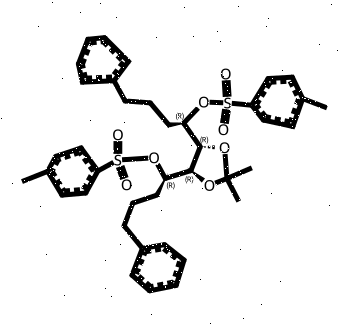 Cc1ccc(S(=O)(=O)O[C@H](CCCc2ccccc2)[C@@H]2OC(C)(C)O[C@H]2[C@@H](CCCc2ccccc2)OS(=O)(=O)c2ccc(C)cc2)cc1